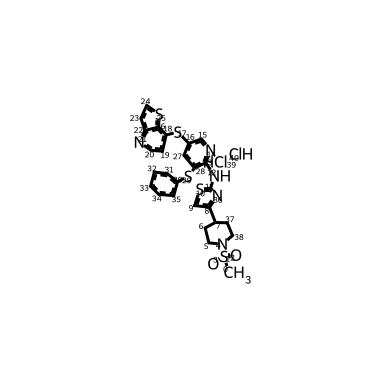 CS(=O)(=O)N1CCC(c2csc(Nc3ncc(Sc4ccnc5ccsc45)cc3Sc3ccccc3)n2)CC1.Cl.Cl